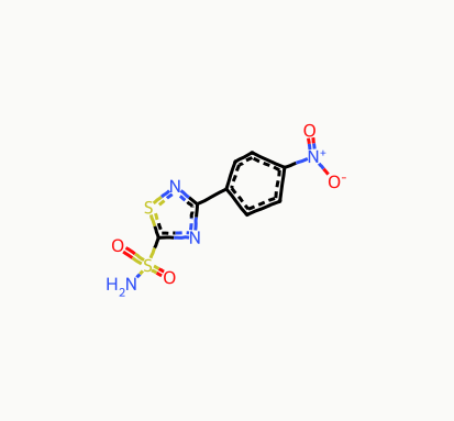 NS(=O)(=O)c1nc(-c2ccc([N+](=O)[O-])cc2)ns1